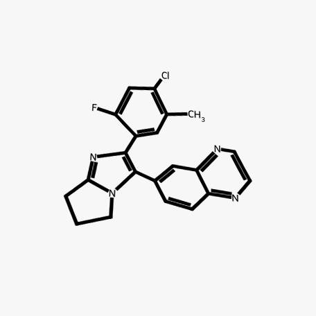 Cc1cc(-c2nc3n(c2-c2ccc4nccnc4c2)CCC3)c(F)cc1Cl